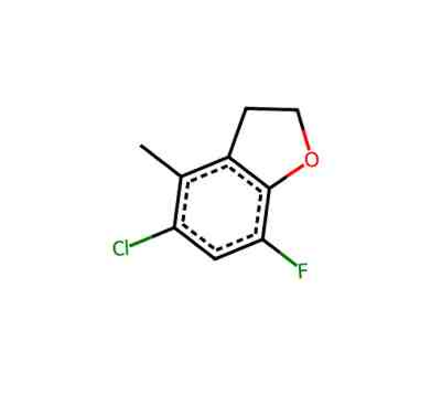 Cc1c(Cl)cc(F)c2c1CCO2